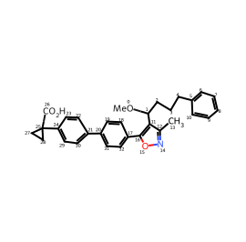 COC(CCCc1ccccc1)c1c(C)noc1-c1ccc(-c2ccc(C3(C(=O)O)CC3)cc2)cc1